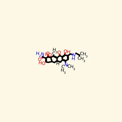 CC1=C2C(=O)c3c(O)c(CNCC(C)C)cc(N(C)C)c3C[C@H]2CC2CC(O)=C(C(N)=O)C(=O)[C@@]12O